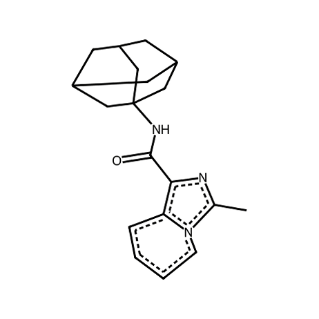 Cc1nc(C(=O)NC23CC4CC(CC(C4)C2)C3)c2ccccn12